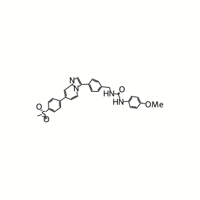 COc1ccc(NC(=O)NCc2ccc(-c3cnc4cc(-c5ccc(S(C)(=O)=O)cc5)ccn34)cc2)cc1